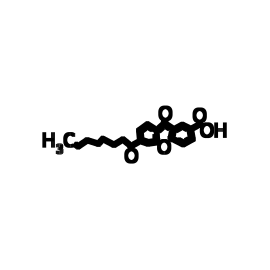 CCCCCCCC(=O)c1ccc2c(=O)c3cc(C(=O)O)ccc3oc2c1